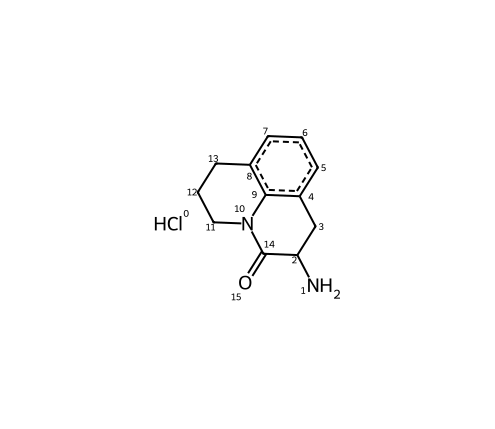 Cl.NC1Cc2cccc3c2N(CCC3)C1=O